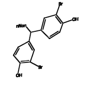 CCCCCCCCCC(c1ccc(O)c(Br)c1)c1ccc(O)c(Br)c1